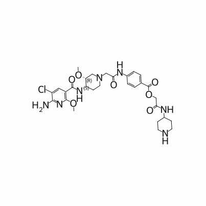 COc1nc(N)c(Cl)cc1C(=O)N[C@H]1CCN(CC(=O)Nc2ccc(C(=O)OCC(=O)NC3CCNCC3)cc2)C[C@H]1OC